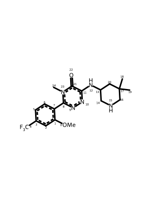 COc1cc(C(F)(F)F)ccc1-c1nnc(NC2CNCC(C)(C)C2)c(=O)n1C